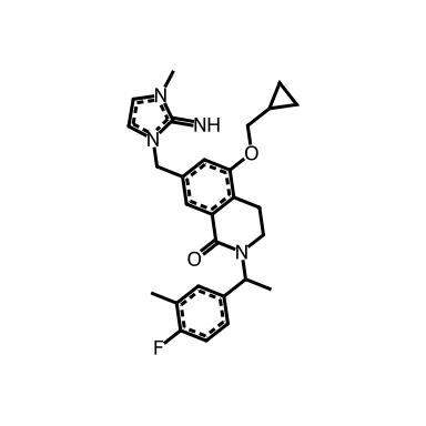 Cc1cc(C(C)N2CCc3c(OCC4CC4)cc(Cn4ccn(C)c4=N)cc3C2=O)ccc1F